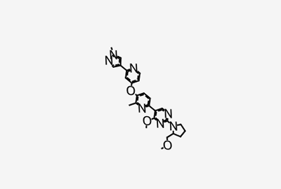 COCC1CCCN1c1ncc(-c2ccc(Oc3ccnc(-c4cnn(C)c4)c3)c(C)n2)c(OC)n1